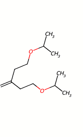 C=C(CCOC(C)C)CCOC(C)C